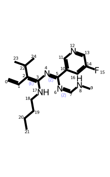 C=C/C(=C(/N=C(\N=C/NC)c1cncc(F)c1)NCCCC)C(C)C